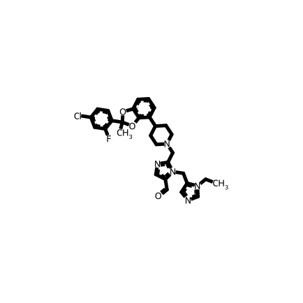 CCn1cncc1Cn1c(C=O)cnc1CN1CCC(c2cccc3c2OC(C)(c2ccc(Cl)cc2F)O3)CC1